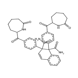 NC(=O)C1(c2ccc(C(=O)C3CCCCC(=O)N3)cc2)C=Cc2ccccc2C1(C(N)=O)c1ccc(C(=O)C2CCCCC(=O)N2)cc1